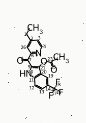 CCc1ccnc(C(=O)c2[nH]c3ccc(C(F)(F)F)cc3c2OC(C)=O)c1